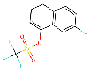 O=S(=O)(OC1=CCCc2ccc(F)cc21)C(F)(F)F